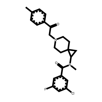 Cc1ccc(C(=O)CN2CCC3(CC2)CC3N(C)C(=O)c2cc(F)cc(Cl)c2)cc1